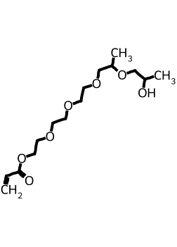 C=CC(=O)OCCOCCOCCOCC(C)OCC(C)O